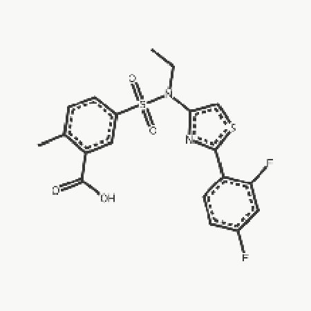 CCN(c1csc(-c2ccc(F)cc2F)n1)S(=O)(=O)c1ccc(C)c(C(=O)O)c1